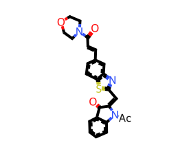 CC(=O)N1/C(=C/c2nc3cc(/C=C/C(=O)N4CCOCC4)ccc3s2)C(=O)c2ccccc21